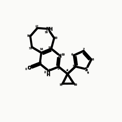 O=c1[nH]c(C2(c3cccs3)CC2)nc2c1CCCNC2